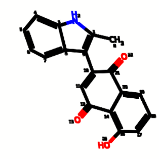 Cc1[nH]c2ccccc2c1C1=CC(=O)c2c(O)cccc2C1=O